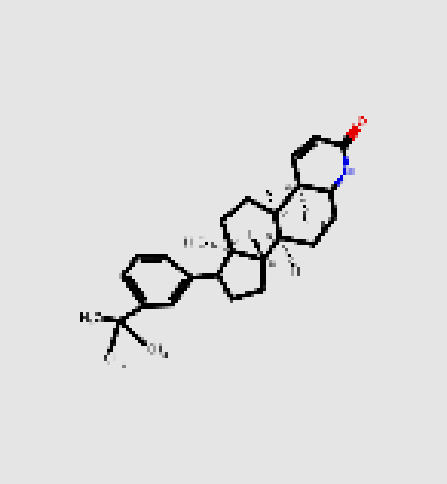 CC(C)(C)c1cccc(C2CC[C@H]3[C@@H]4CCC5NC(=O)C=C[C@]5(C)[C@@H]4CC[C@]23C)c1